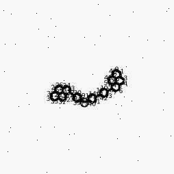 C1=CC2=CC=C3CC=C(c4ccc(-c5ccc(Oc6ccc(C7=CC=C8C=CC9=C%10C(=CC=C7C8%10)CC=C9)cc6)cc5)cc4)C4=C3C2C(=C1)C=C4